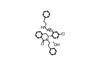 O=C(NCCc1ccccc1)[C@H]1c2ccccc2C(=O)N([C@H](CO)Cc2ccccc2)[C@@H]1c1ccc(Cl)cc1Cl